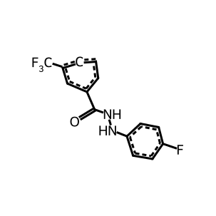 O=C(NNc1ccc(F)cc1)c1cccc(C(F)(F)F)c1